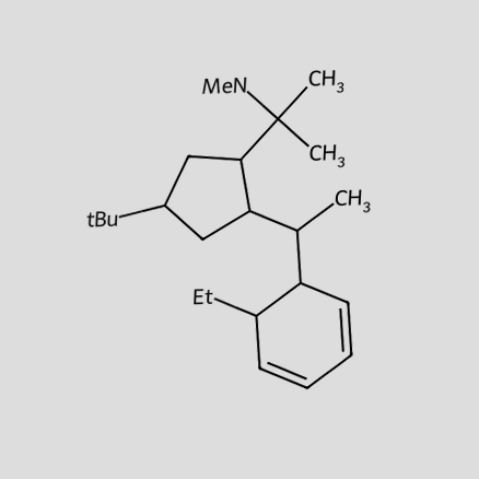 CCC1C=CC=CC1C(C)C1CC(C(C)(C)C)CC1C(C)(C)NC